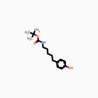 CC(C)(C)OC(=O)NCCCCCc1ccc(O)cc1